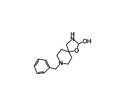 OC1NCC2(CCN(Cc3ccccc3)CC2)O1